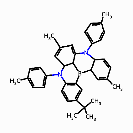 CC1=CC2B3c4cc(C(C)(C)C)ccc4N(c4ccc(C)cc4)C4C=C(C)C=C(C34)N(c3ccc(C)cc3)C2C=C1